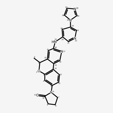 CC1Oc2cc(N3CCCC3=O)ccc2-c2cnc(Nc3cncc(-n4ccnc4)c3)cc21